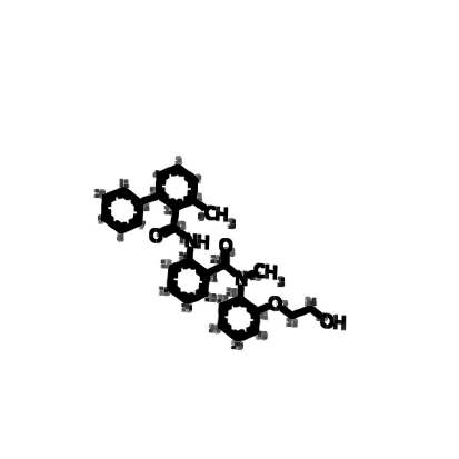 Cc1cccc(-c2ccccc2)c1C(=O)Nc1ccccc1C(=O)N(C)c1ccccc1OCCO